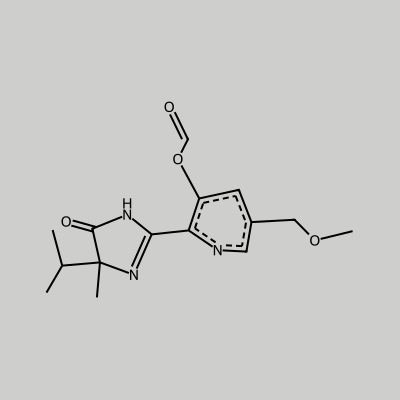 COCc1cnc(C2=NC(C)(C(C)C)C(=O)N2)c(OC=O)c1